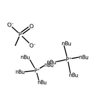 CCCC[P+](CCCC)(CCCC)CCCC.CCCC[P+](CCCC)(CCCC)CCCC.CP(=O)([O-])[O-]